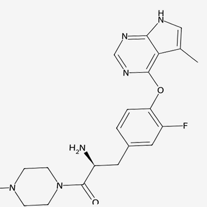 Cc1c[nH]c2ncnc(Oc3ccc(C[C@H](N)C(=O)N4CCN(C)CC4)cc3F)c12